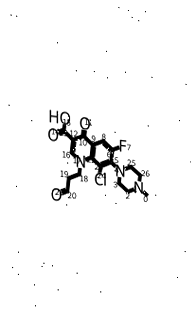 CN1CCN(c2c(F)cc3c(=O)c(C(=O)O)cn(CCC=O)c3c2Cl)CC1